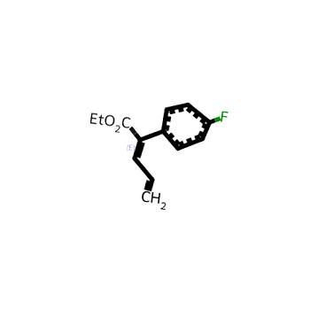 C=C/C=C(/C(=O)OCC)c1ccc(F)cc1